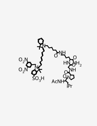 CC(=O)NC(CC(C)C)C(=O)N1CCCC1C(=O)NCC(=O)NC(CCCCNC(=O)CCCCCN1/C(=C/C=C/C=C/C=C/C2=[N+](Cc3cc([N+](=O)[O-])cc([N+](=O)[O-])c3)c3ccc(S(=O)(=O)O)cc3C2(C)C)C(C)(C)c2ccccc21)C(N)=O